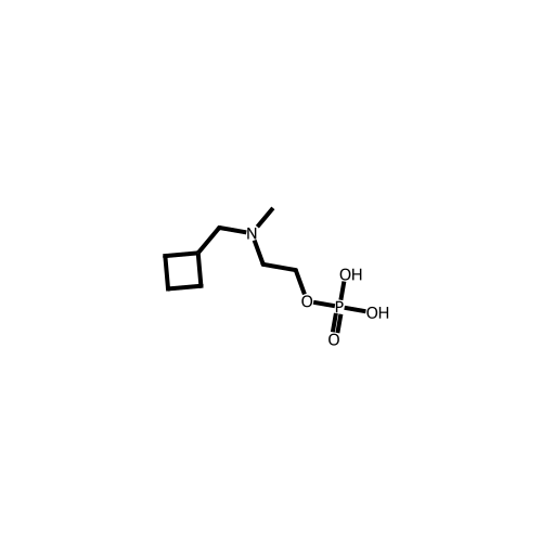 CN(CCOP(=O)(O)O)CC1CCC1